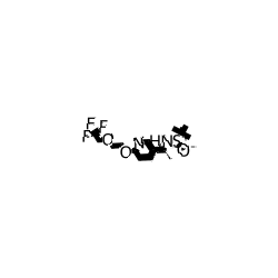 C[C@@H](N[S@+]([O-])C(C)(C)C)c1ccc(OCCOCC(F)(F)F)nc1